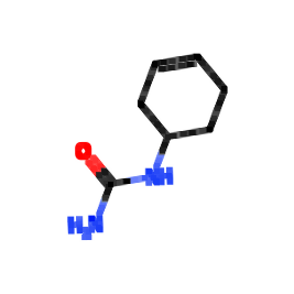 NC(=O)NC1CC=CCC1